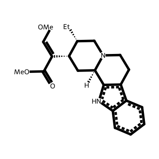 CC[C@@H]1CN2CCc3c([nH]c4ccccc34)[C@H]2C[C@@H]1/C(=C\OC)C(=O)OC